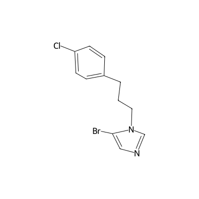 Clc1ccc(CCCn2cncc2Br)cc1